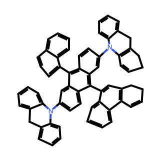 C1=CC2=C(CC1)Cc1ccccc1N2c1ccc2c(-c3cccc4ccccc34)c3cc(N4c5ccccc5Cc5ccccc54)ccc3c(-c3cc4c(c5ccccc35)C=CCC4)c2c1